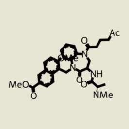 CN[C@@H](C)C(=O)NC1CN(C(=O)CCCC(C)=O)c2ccccc2N(Cc2c(OC)ccc3cc(C(=O)OC)ccc23)C1=O